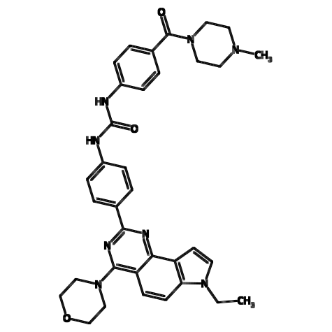 CCn1ccc2c3nc(-c4ccc(NC(=O)Nc5ccc(C(=O)N6CCN(C)CC6)cc5)cc4)nc(N4CCOCC4)c3ccc21